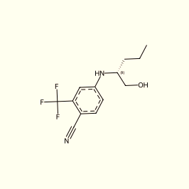 CCC[C@H](CO)Nc1ccc(C#N)c(C(F)(F)F)c1